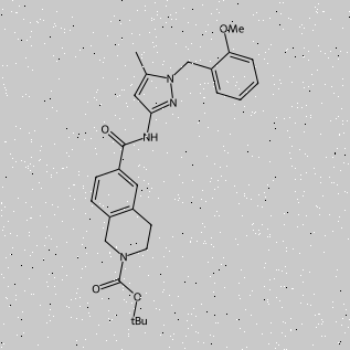 COc1ccccc1Cn1nc(NC(=O)c2ccc3c(c2)CCN(C(=O)OC(C)(C)C)C3)cc1C